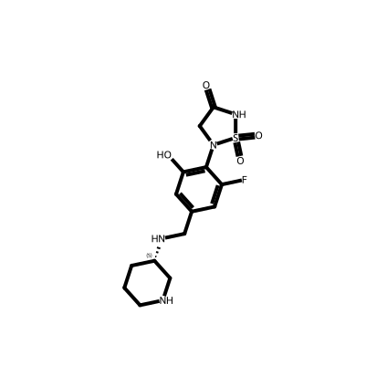 O=C1CN(c2c(O)cc(CN[C@H]3CCCNC3)cc2F)S(=O)(=O)N1